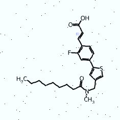 CCCCCCCCC(=O)N(C)Cc1csc(-c2ccc(/C=C/C(=O)O)c(F)c2)c1